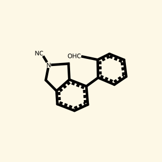 N#CN1Cc2cccc(-c3ccccc3C=O)c2C1